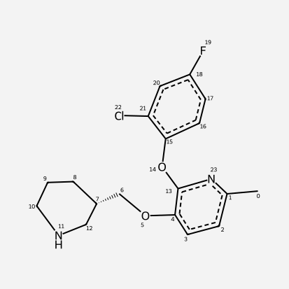 Cc1ccc(OC[C@H]2CCCNC2)c(Oc2ccc(F)cc2Cl)n1